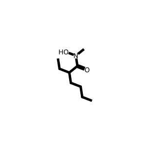 CCCCC(CC)C(=O)N(C)O